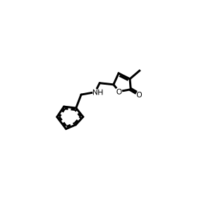 CC1=CC(CNCc2ccccc2)OC1=O